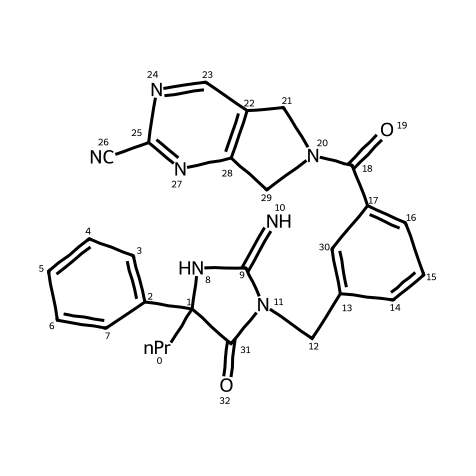 CCCC1(c2ccccc2)NC(=N)N(Cc2cccc(C(=O)N3Cc4cnc(C#N)nc4C3)c2)C1=O